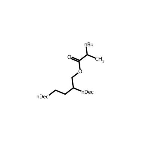 CCCCCCCCCCCCC(CCCCCCCCCC)COC(=O)C(C)CCCC